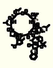 CC[C@H](C)[C@H]1NC(=O)[C@@H](NC(=O)[C@H](CC(C)C)N(C)C(=O)[C@@H]2CCCN2C(=O)[C@H](C)NC(=O)[C@@H](Cc2ccccc2)NC(=O)OC(C)(C)C)[C@@H](C)OC(=O)[C@H](Cc2ccc(OC)cc2)N(C)C(=O)[C@@H]2CCCN2C(=O)[C@H](CC(C)C)NC(=O)[C@@H](C)C(=O)[C@H](C(C)C)OC(=O)C[C@@H]1O